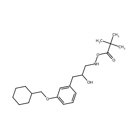 CC(C)(C)C(=O)ONCC(O)Cc1cccc(OCC2CCCCC2)c1